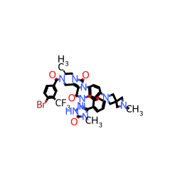 C[C@H]1Cn2c(c(C(=O)NCc3ccccc3-c3n[nH]c(=O)n3C)n(-c3ccc(N4CC5(CN(C)C5)C4)cc3)c2=O)CN1C(=O)c1ccc(Br)c(C(F)(F)F)c1